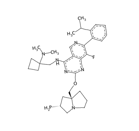 CC(C)c1ccccc1-c1ncc2c(NCC3(N(C)C)CCC3)nc(OC[C@@]34CCCN3C[C@H](P)C4)nc2c1F